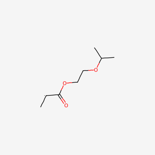 C[CH]C(=O)OCCOC(C)C